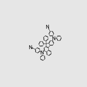 N#Cc1ccc(N(c2ccccc2)c2ccc3c(c2)C(c2ccccc2)(c2ccccc2)c2cc(N(c4ccccc4)c4ccc(C#N)cc4)c4ccccc4c2-3)cc1